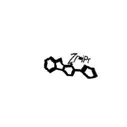 C[CH](C)[Zr][c]1c(C2=CC=CC2)ccc2c1Cc1ccccc1-2